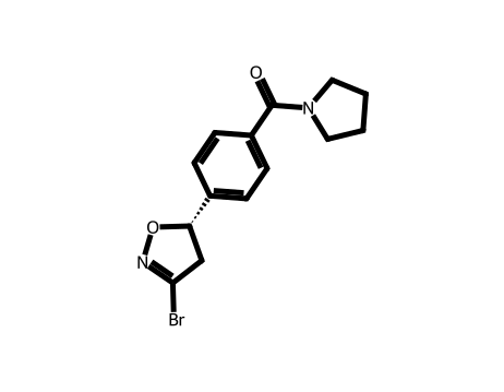 O=C(c1ccc([C@@H]2CC(Br)=NO2)cc1)N1CCCC1